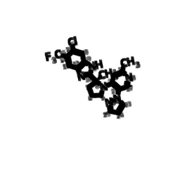 Cc1cc(N2CCC[C@@]2(C)c2nc3cc(C(F)(F)F)c(Cl)cc3[nH]2)c(-n2cccn2)[c]n1